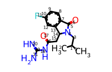 CC(C)CN1C(=O)c2ccc(F)cc2C1CC(=O)NC(=N)N